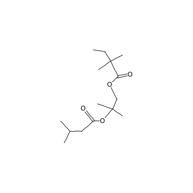 CCC(C)(C)C(=O)OCC(C)(C)OC(=O)CC(C)C